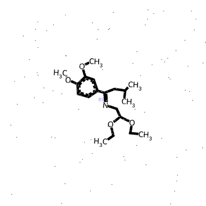 CCOC(C/N=C(\CC(C)C)c1ccc(OC)c(OC)c1)OCC